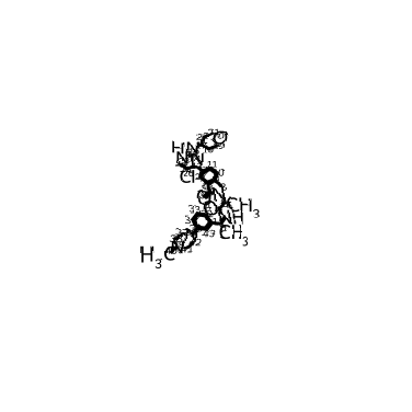 CC(NC(=O)C(C)N1Cc2ccc(-c3nc(NC4CCOCC4)ncc3Cl)cc2C1=O)c1cccc(N2CCN(C)CC2)c1